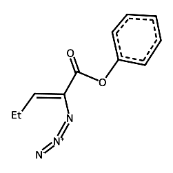 CCC=C(N=[N+]=[N-])C(=O)Oc1ccccc1